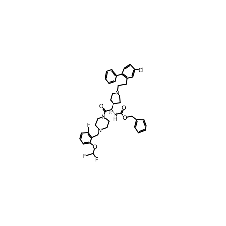 O=C(N[C@@H](C(=O)N1CCN(Cc2c(F)cccc2OC(F)F)CC1)C1CCN(CCc2cc(Cl)ccc2-c2ccccc2)CC1)OCc1ccccc1